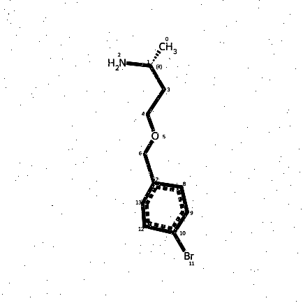 C[C@@H](N)CCOCc1ccc(Br)cc1